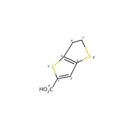 O=C(O)c1cc2c(s1)CCS2